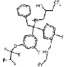 CC(C)CNCc1cc([C@@](Cc2ccccc2)(NCC(O)CC(F)(F)F)c2cc(F)cc(OC(F)(F)C(F)F)c2)ccc1F